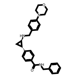 O=C(NCc1ccccc1)c1ccc([C@@H]2C[C@H]2NCc2ccc(N3CCOCC3)cc2)cc1